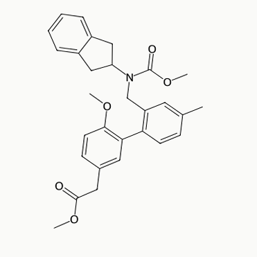 COC(=O)Cc1ccc(OC)c(-c2ccc(C)cc2CN(C(=O)OC)C2Cc3ccccc3C2)c1